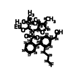 CCOC(N(c1onc(C)c1C)S(=O)(=O)c1ccccc1-c1ccc(CO)cc1CCCF)[Si](C)(C)C